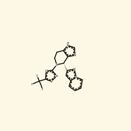 FC(F)(F)c1nnc(N2CCc3[nH]cnc3[C@@H]2c2cc3ccccn3n2)o1